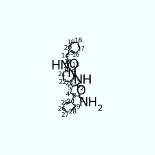 NC(=O)C(=Cc1c[nH]c2nc(NC(=O)Cc3ccccc3)ccc12)c1ccccc1